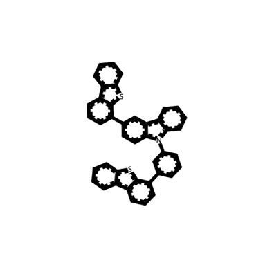 c1cc(-c2cccc3c2sc2ccccc23)cc(-n2c3ccccc3c3cc(-c4cccc5c4sc4ccccc45)ccc32)c1